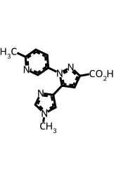 Cc1ccc(-n2nc(C(=O)O)cc2-c2cn(C)cn2)cn1